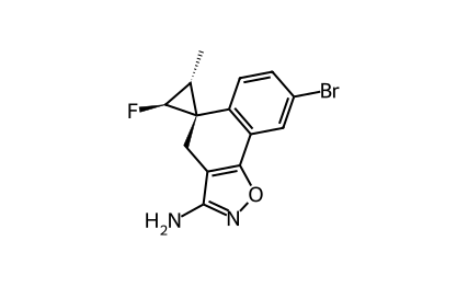 C[C@H]1[C@H](F)[C@]12Cc1c(N)noc1-c1cc(Br)ccc12